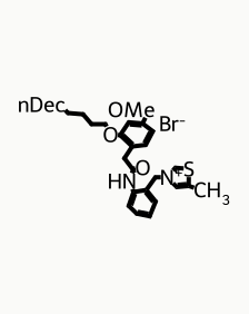 CCCCCCCCCCCCCCOc1cc(OC)ccc1CC(=O)Nc1ccccc1C[n+]1csc(C)c1.[Br-]